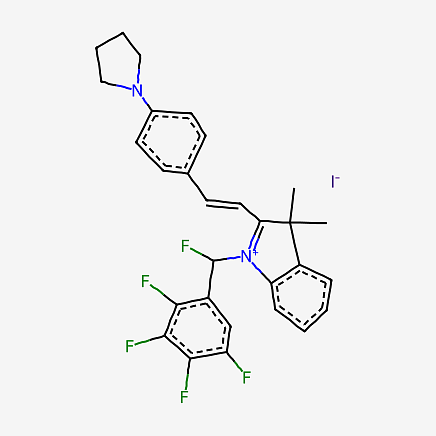 CC1(C)C(C=Cc2ccc(N3CCCC3)cc2)=[N+](C(F)c2cc(F)c(F)c(F)c2F)c2ccccc21.[I-]